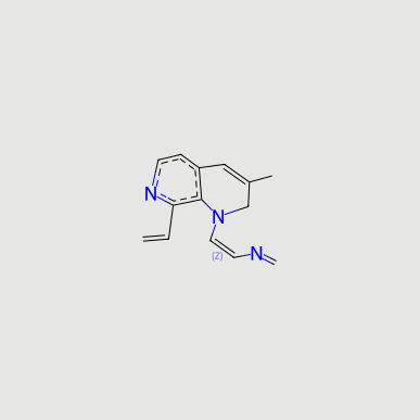 C=Cc1nccc2c1N(/C=C\N=C)CC(C)=C2